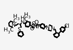 Cc1cc(S(=O)(=O)NC(=O)c2ccc(N3CCN(Cc4ccccc4-c4ccc(Cl)cc4)CC3)cc2)ccc1N[C@H](CCN1[C@H](C)CCC[C@@H]1C)CSc1ccccc1